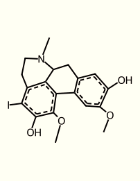 COc1cc2c(cc1O)CC1c3c(c(I)c(O)c(OC)c3-2)CCN1C